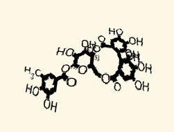 Cc1cc(C(=O)O[C@@H]2OC3COC(=O)c4cc(O)c(O)c(O)c4-c4c(cc(O)c(O)c4O)C(=O)O[C@H]3[C@H](O)C2O)cc(O)c1O